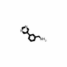 NCc1cccc(-c2cn[c]nc2)c1